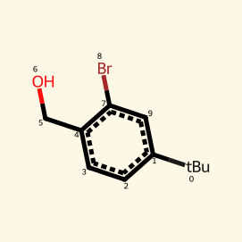 CC(C)(C)c1ccc(CO)c(Br)c1